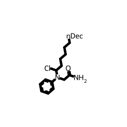 CCCCCCCCCCCCCCCC(Cl)N(CC(N)=O)c1ccccc1